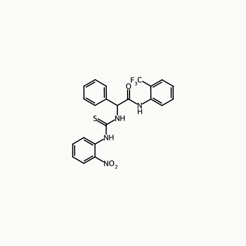 O=C(Nc1ccccc1C(F)(F)F)C(NC(=S)Nc1ccccc1[N+](=O)[O-])c1ccccc1